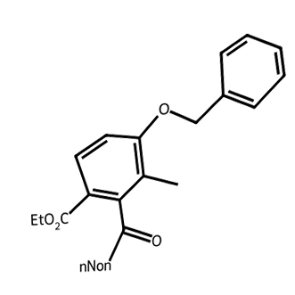 CCCCCCCCCC(=O)c1c(C(=O)OCC)ccc(OCc2ccccc2)c1C